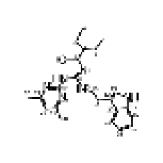 CCC(CC)C(=O)/N=C(/NCCc1c[nH]c2ccccc12)Nc1nc(C)cc(C)n1